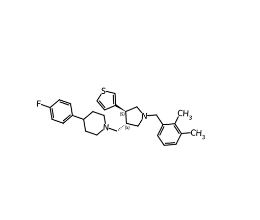 Cc1cccc(CN2C[C@H](CN3CCC(c4ccc(F)cc4)CC3)[C@@H](c3ccsc3)C2)c1C